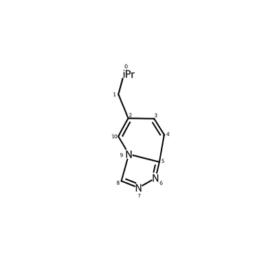 CC(C)Cc1ccc2nncn2c1